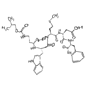 CSCC[C@H](NC(=O)[C@H](Cc1c[nH]c2ccccc12)NC(=O)CCNC(=O)OCC(C)C)C(=O)N[C@@H](CC(=O)O)C(=O)N[C@@H](Cc1ccccc1)C(N)=O